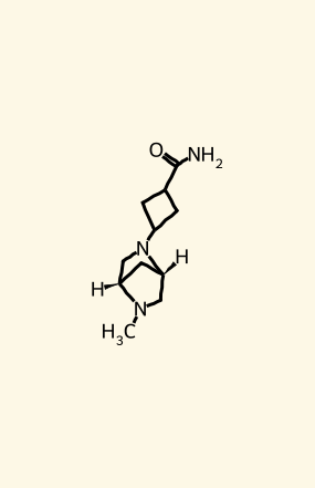 CN1C[C@@H]2C[C@H]1CN2C1CC(C(N)=O)C1